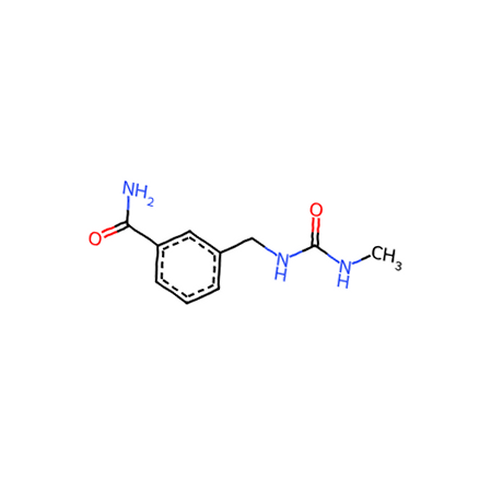 CNC(=O)NCc1cccc(C(N)=O)c1